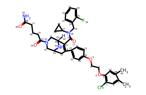 Cc1cc(Cl)c(OCCOc2ccc(C3=C(C(=O)N(Cc4ccccc4F)C4CC4)[C@H]4CN(C(=O)CCCC(N)=O)CC(C3)N4)cc2)cc1C